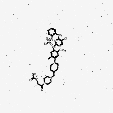 CCS(=O)(=O)Nc1ccccc1Nc1nc(Nc2cc(C)c(N3CCC(CN4CCN(C(=O)[C@H](C)OC(N)=O)CC4)CC3)cc2OC)ncc1Cl